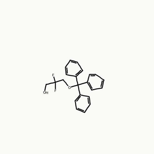 OCC(F)(F)COC(c1ccccc1)(c1ccccc1)c1ccccc1